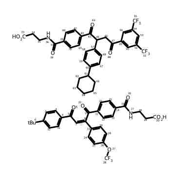 CC(C)(C)c1ccc(C(=O)/C=C(\C(=O)c2ccc(C(=O)NCCC(=O)O)cc2)c2ccc(OC(F)(F)F)cc2)cc1.O=C(O)CCNC(=O)c1ccc(C(=O)C(CC(=O)c2cc(C(F)(F)F)cc(C(F)(F)F)c2)c2ccc(C3CCCCC3)cc2)cc1